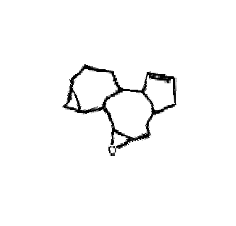 C1=CC2C(C1)CC1OC1C1C3CC3CCC21